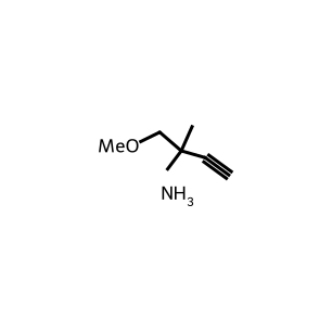 C#CC(C)(C)COC.N